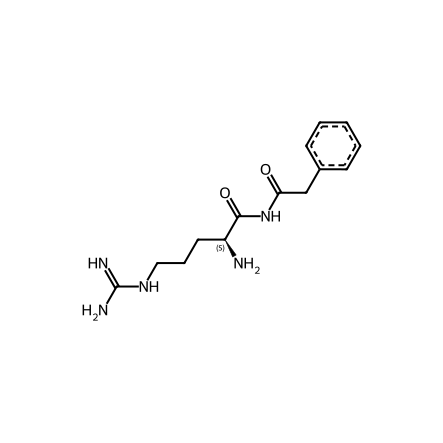 N=C(N)NCCC[C@H](N)C(=O)NC(=O)Cc1ccccc1